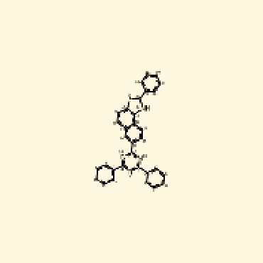 c1ccc(-c2nc(-c3ccccc3)nc(-c3ccc4c5c(ccc4c3)SC(c3ccccc3)N5)n2)cc1